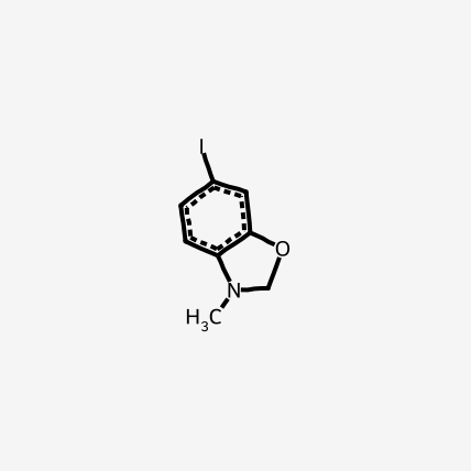 CN1COc2cc(I)ccc21